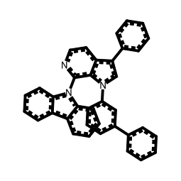 c1ccc(-c2cccc(-n3cc(-c4ccccc4)c4ccnc(-n5c6ccccc6c6ccccc65)c43)c2)cc1